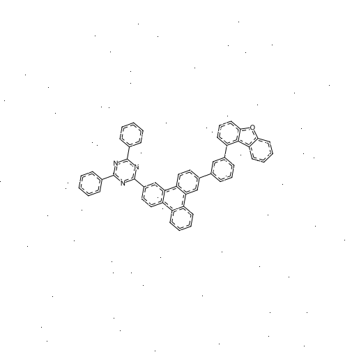 c1ccc(-c2nc(-c3ccccc3)nc(-c3ccc4c5ccccc5c5cc(-c6cccc(-c7cccc8oc9ccccc9c78)c6)ccc5c4c3)n2)cc1